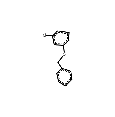 Clc1cc[c]c(SCc2ccccc2)c1